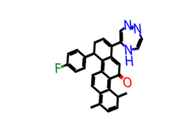 CC1=c2ccc3c(c2C(C)C=C1)C(=O)C=C1C(C2=CN=NC=CN2)=CCC(c2ccc(F)cc2)C=31